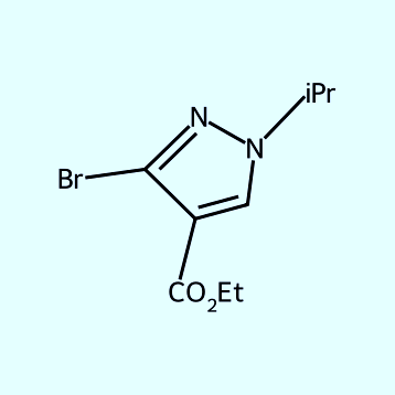 CCOC(=O)c1cn(C(C)C)nc1Br